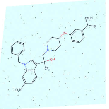 CCC(C(=O)O)c1cccc(OC2CCN(CC(O)(c3cn(Cc4ccccc4)c4cc([N+](=O)[O-])ccc34)C(F)(F)F)CC2)c1